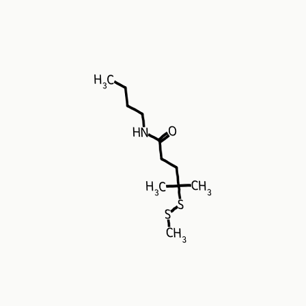 CCCCNC(=O)CCC(C)(C)SSC